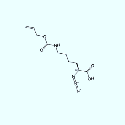 C=CCOC(=O)NCCCC[C@H](N=[N+]=[N-])C(=O)O